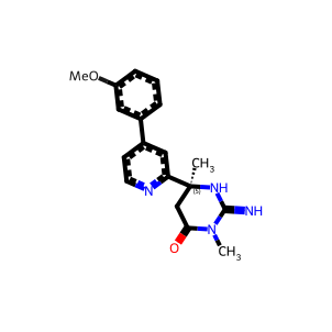 COc1cccc(-c2ccnc([C@]3(C)CC(=O)N(C)C(=N)N3)c2)c1